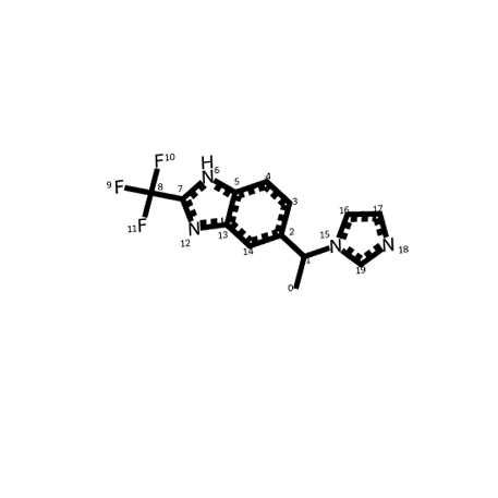 CC(c1ccc2[nH]c(C(F)(F)F)nc2c1)n1ccnc1